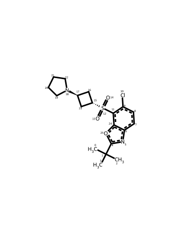 CC(C)(C)c1nc2ccc(Cl)c(S(=O)(=O)[C@H]3C[C@H](N4CCCC4)C3)c2o1